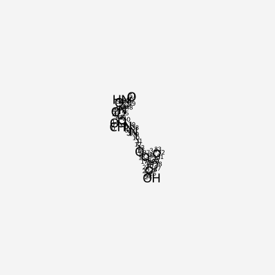 COc1cc(N2CCN(CCCCCOc3ccc([C@@H]4c5ccc(O)cc5CC[C@@H]4c4ccccc4)cc3)CC2)cc2c1COCN(C1CCC(=O)NC1=O)C2